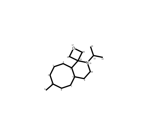 CC1CCCC2C(CC1)CCN(C(C)C)C21COC1